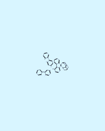 c1ccc2c(c1)-c1c(N(c3ccc4c(c3)oc3ccccc34)c3ccc4oc5ccccc5c4c3)cccc1C21C2CC3CC(C2)CC1C3